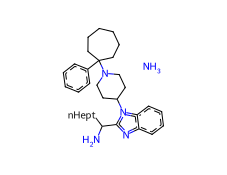 CCCCCCCC(N)c1nc2ccccc2n1C1CCN(C2(c3ccccc3)CCCCCC2)CC1.N